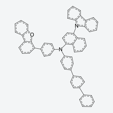 c1ccc(-c2ccc(-c3ccc(N(c4ccc(-c5cccc6c5oc5ccccc56)cc4)c4ccc(-n5c6ccccc6c6ccccc65)c5ccccc45)cc3)cc2)cc1